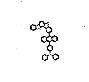 c1ccc(N(c2ccccc2)c2ccc(-c3c4ccccc4c(-c4ccc5sc6ccc7c8ccccc8oc7c6c5c4)c4ccccc34)cc2)cc1